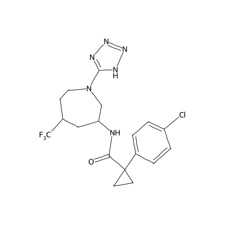 O=C(NC1CC(C(F)(F)F)CCN(c2nnn[nH]2)C1)C1(c2ccc(Cl)cc2)CC1